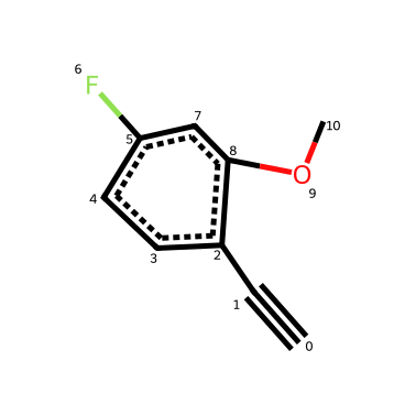 C#Cc1ccc(F)cc1OC